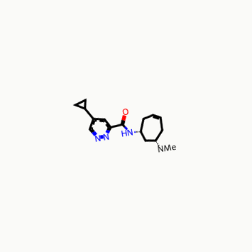 CN[C@H]1CC=CC[C@@H](NC(=O)c2cc(C3CC3)cnn2)C1